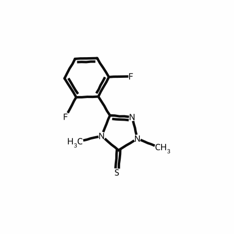 Cn1nc(-c2c(F)cccc2F)n(C)c1=S